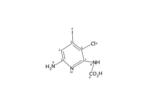 Nc1cc(I)c(Cl)c(NC(=O)O)n1